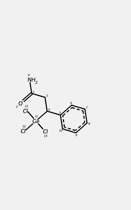 NC(=O)C[CH](c1ccccc1)[Ge]([Cl])([Cl])[Cl]